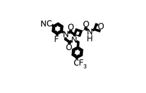 N#Cc1ccc(N2CC(=O)N(Cc3ccc(C(F)(F)F)cc3)[C@]3(C[C@@H](C(=O)NC4COC4)C3)C2=O)c(F)c1